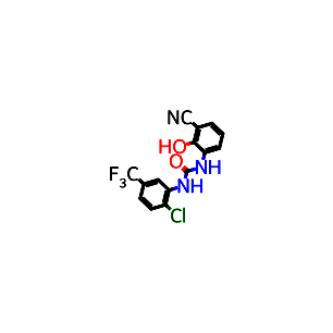 N#Cc1cccc(NC(=O)Nc2cc(C(F)(F)F)ccc2Cl)c1O